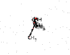 CCCCCCCCCCCCCCCCN(C(=O)OC(C)(C)C)c1ccc(C(=O)c2ncc[nH]2)cc1